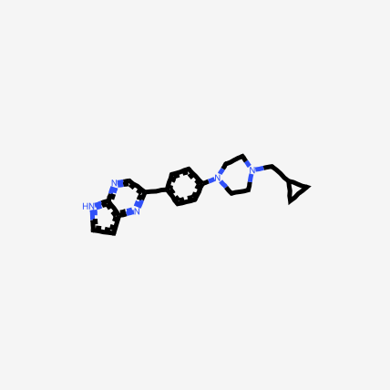 c1cc2nc(-c3ccc(N4CCN(CC5CC5)CC4)cc3)cnc2[nH]1